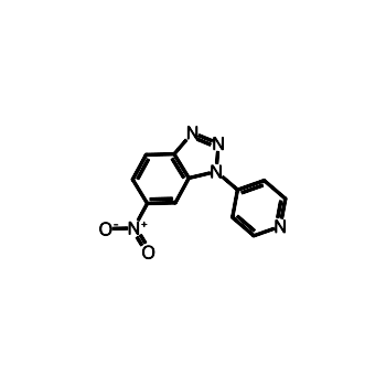 O=[N+]([O-])c1ccc2nnn(-c3ccncc3)c2c1